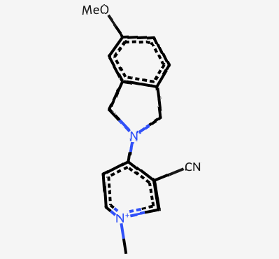 COc1ccc2c(c1)CN(c1cc[n+](C)cc1C#N)C2